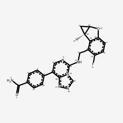 NC(=O)c1ccc(-c2cnc(NCc3c(F)ccc4c3[C@H]3CC3O4)n3cnnc23)cc1